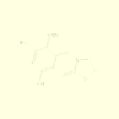 COc1c(O)cc(C)c2cc3[n+](cc12)OCO3